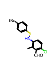 Cc1c(NSc2ccc(C(C)(C)C)cc2)ccc(Cl)c1C=O